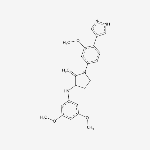 C=C1C(Nc2cc(OC)cc(OC)c2)CCN1c1ccc(-c2cn[nH]c2)c(OC)c1